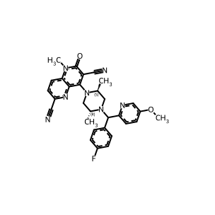 COc1ccc(C(c2ccc(F)cc2)N2C[C@H](C)N(c3c(C#N)c(=O)n(C)c4ccc(C#N)nc34)C[C@H]2C)nc1